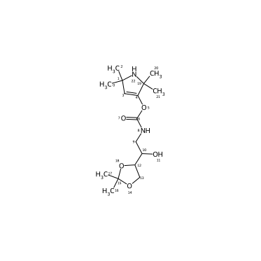 CC1(C)C=C(OC(=O)NCC(O)C2COC(C)(C)O2)C(C)(C)N1